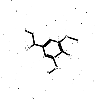 CCC(N)c1cc(OC)c(Br)c(OC)c1